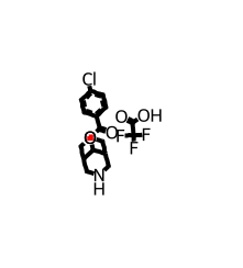 O=C(O)C(F)(F)F.O=C(OC1C2CNCC1COC2)c1ccc(Cl)cc1